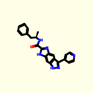 C[C@H](Cc1ccccc1)NC(=O)c1nc2cc3c(-c4ccncc4)n[nH]c3cc2[nH]1